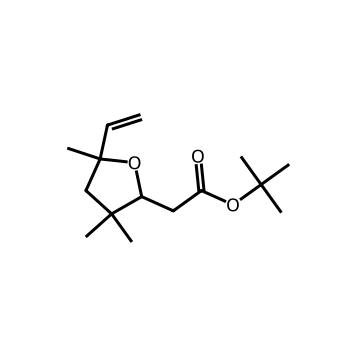 C=CC1(C)CC(C)(C)C(CC(=O)OC(C)(C)C)O1